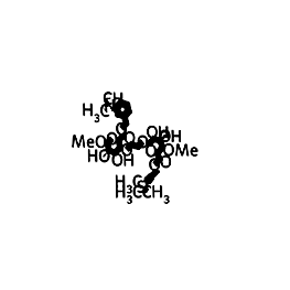 CO[C@@H]1OC(C(=O)OCc2cccc(N(C)C)c2)[C@@H](OCCO[C@@H]2OC(C(=O)OCC#C[Si](C)(C)C)[C@@H](OC)[C@H](O)[C@@H]2O)[C@H](O)[C@@H]1O